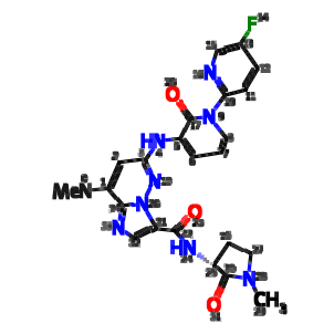 CNc1cc(Nc2cccn(-c3ccc(F)cn3)c2=O)nn2c(C(=O)N[C@@H]3CCN(C)C3=O)cnc12